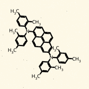 Cc1ccc(N(c2cc3ccc4ccc(N(c5ccc(C)cc5C)c5ccc(C)cc5C)c5ccc(c2)c3c45)c2ccc(C)cc2C)c(C)c1